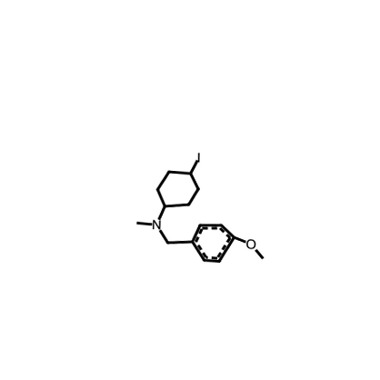 COc1ccc(CN(C)C2CCC(I)CC2)cc1